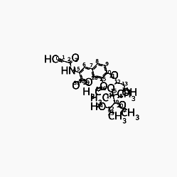 C#CC(=O)Nc1cc2ccc(OC(CO)OC(C)(C)C(OC)C(C)O)c(OC)c2oc1=O